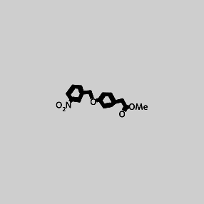 COC(=O)Cc1ccc(OCc2cccc([N+](=O)[O-])c2)cc1